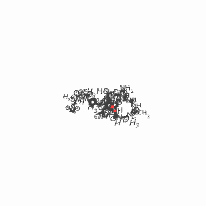 CC[C@H](C)[C@@H]1NC(=O)CNC(=O)C2Cc3c([nH]c4cc(OCc5ccc(NC(=O)[C@H](C)NC(=O)[C@@H](NC(=O)CCN6C(=O)C=CC6=O)C(C)C)cc5)ccc34)[S+]([O-])CC(NC(=O)CNC1=O)C(=O)N[C@@H](CC(N)=O)C(=O)N1C[C@H](O)C[C@H]1C(=O)N[C@@H]([C@@H](C)[C@@H](O)CO)C(=O)N2